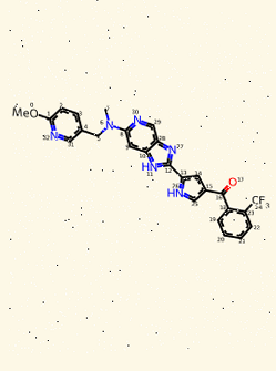 COc1ccc(CN(C)c2cc3[nH]c(-c4cc(C(=O)c5ccccc5C(F)(F)F)c[nH]4)nc3cn2)cn1